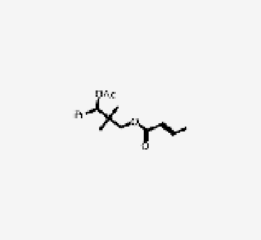 CC=CC(=O)OCC(C)(C)C(OC(C)=O)C(C)C